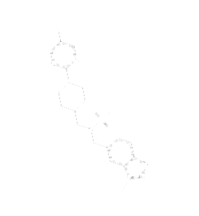 Cn1nnc2ccc(CN(CC3CCN(c4ncc(C(=O)O)cn4)CC3)S(C)(=O)=O)cc21